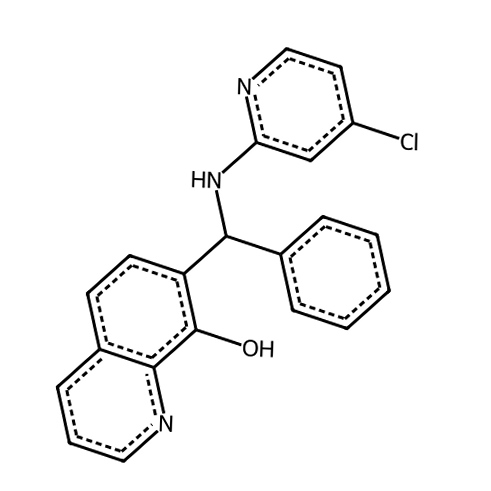 Oc1c(C(Nc2cc(Cl)ccn2)c2ccccc2)ccc2cccnc12